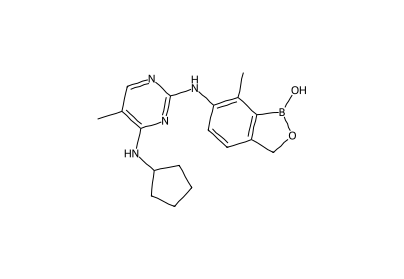 Cc1cnc(Nc2ccc3c(c2C)B(O)OC3)nc1NC1CCCC1